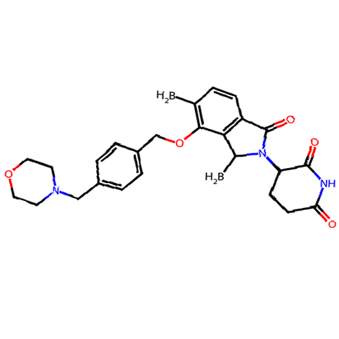 Bc1ccc2c(c1OCc1ccc(CN3CCOCC3)cc1)C(B)N(C1CCC(=O)NC1=O)C2=O